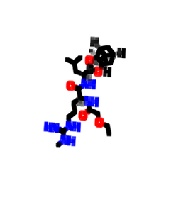 CCOCC(=O)N[C@@H](CCCNC(=N)NC)C(=O)N[C@@H](CC(C)C)B1O[C@@H]2C[C@@H]3C[C@@H](C3(C)C)[C@]2(C)O1